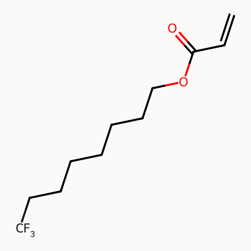 C=CC(=O)OCCCCCCCC(F)(F)F